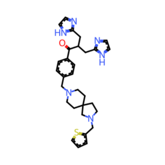 O=C(c1ccc(CN2CCC3(CC2)CCN(Cc2cccs2)C3)cc1)C(Cc1ncc[nH]1)Cc1ncc[nH]1